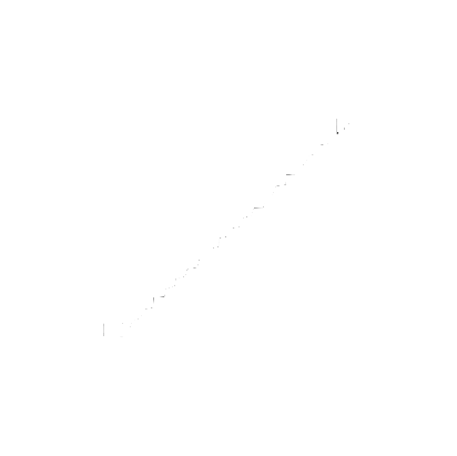 SCCCCCCCCCCCCCCCCCCCCCCCCCCCCCCCCCCCCCCCBr